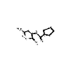 CC(C)CC(NC(=O)C1CCCC1)C(=O)O